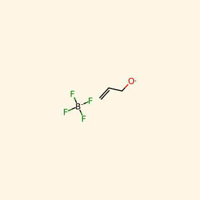 C=CC[O].F[B-](F)(F)F